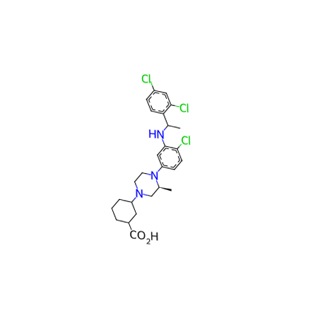 CC(Nc1cc(N2CCN(C3CCCC(C(=O)O)C3)C[C@@H]2C)ccc1Cl)c1ccc(Cl)cc1Cl